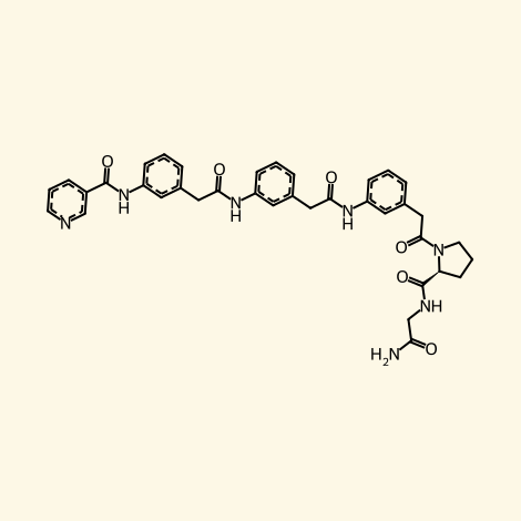 NC(=O)CNC(=O)[C@@H]1CCCN1C(=O)Cc1cccc(NC(=O)Cc2cccc(NC(=O)Cc3cccc(NC(=O)c4cccnc4)c3)c2)c1